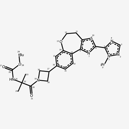 CC(C)n1ncnc1-c1nc2c(s1)CCOc1cc(C3CN(C(=O)C(C)(C)NC(=O)OC(C)(C)C)C3)ccc1-2